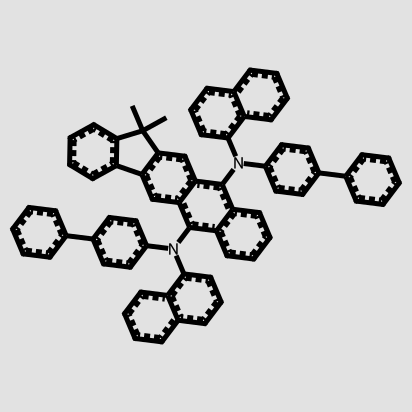 CC1(C)c2ccccc2-c2cc3c(N(c4ccc(-c5ccccc5)cc4)c4cccc5ccccc45)c4ccccc4c(N(c4ccc(-c5ccccc5)cc4)c4cccc5ccccc45)c3cc21